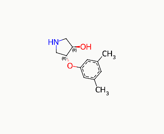 Cc1cc(C)cc(O[C@@H]2CNC[C@H]2O)c1